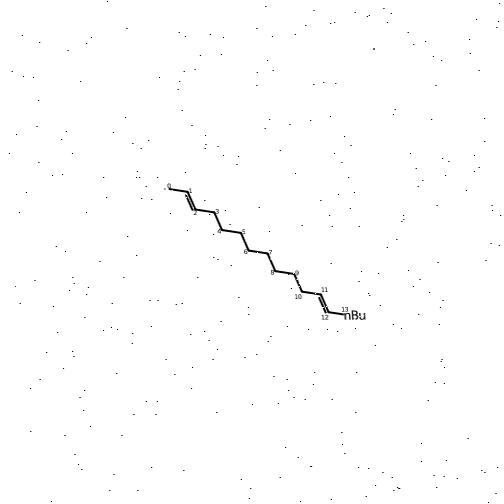 [CH2]C=CCCCCCCCCC=CCCCC